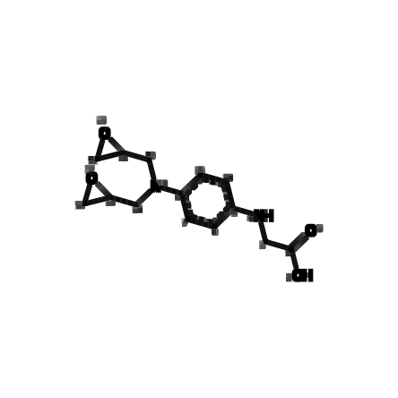 O=C(O)CNc1ccc(N(CC2CO2)CC2CO2)cc1